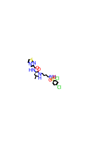 CC(C)C[C@@H](NC(=O)c1cn2ccsc2n1)C(=O)NCCCCNS(=O)(=O)c1ccc(Cl)cc1Cl